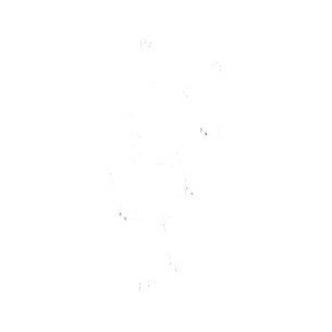 CCOc1ncc2cc(Br)c(=O)[nH]c2n1